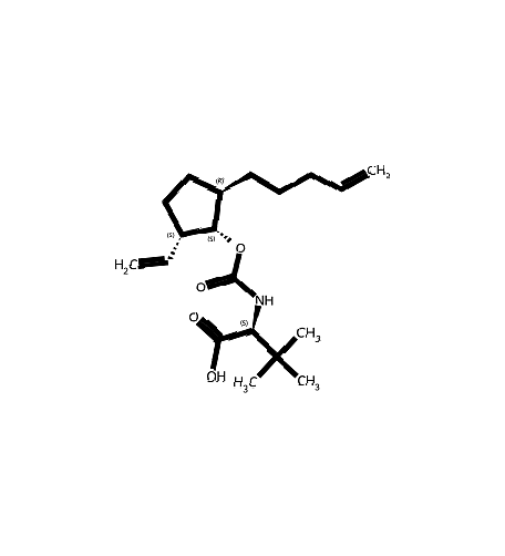 C=CCCC[C@@H]1CC[C@@H](C=C)[C@H]1OC(=O)N[C@H](C(=O)O)C(C)(C)C